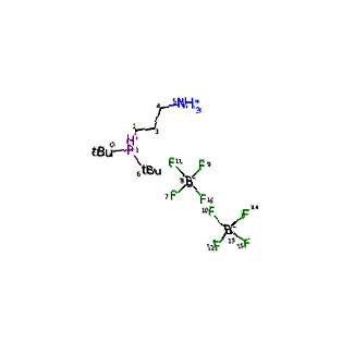 CC(C)(C)[PH+](CCC[NH3+])C(C)(C)C.F[B-](F)(F)F.F[B-](F)(F)F